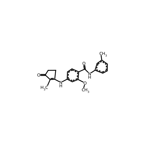 COc1cc(NC2=C(C)C(=O)CC2)ccc1C(=O)Nc1cccc(C)c1